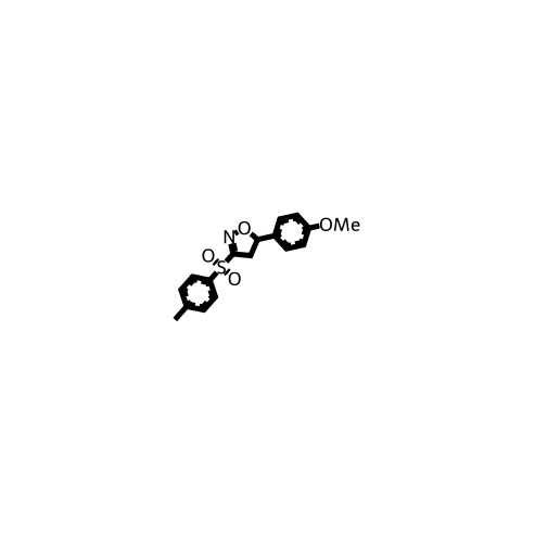 COc1ccc(C2CC(S(=O)(=O)c3ccc(C)cc3)=NO2)cc1